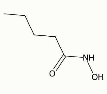 CCCCC(=O)NO